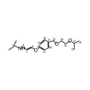 CC(C)NCC=COc1ccc(COCCOC(C)C)cc1